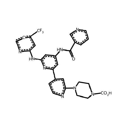 O=C(Nc1cc(Nc2cc(C(F)(F)F)ccn2)nc(-c2ccnc(N3CCN(C(=O)O)CC3)c2)c1)c1cccnc1